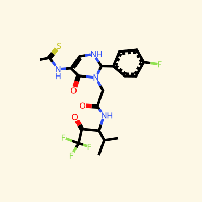 CC(=S)NC1=CNC(c2ccc(F)cc2)N(CC(=O)NC(C(=O)C(F)(F)F)C(C)C)C1=O